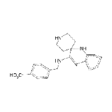 O=C(O)c1ccc(CNC2=Nc3ccccc3NC23CCNCC3)cc1